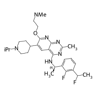 CNCCOc1nc2nc(C)nc(N[C@H](C)c3cccc(C(C)F)c3F)c2cc1C1CCN(C(C)C)CC1